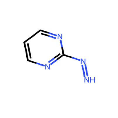 N=Nc1ncccn1